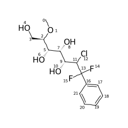 CO[C@H](CO)[C@@H](O)[C@H](O)[C@@H](O)C(Cl)C(F)(F)c1ccccc1